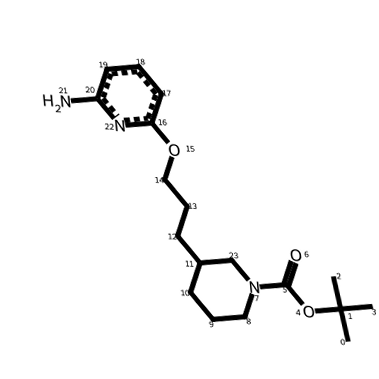 CC(C)(C)OC(=O)N1CCCC(CCCOc2cccc(N)n2)C1